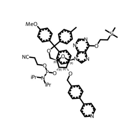 COc1ccc(C(OC[C@H]2O[C@@H](n3cnc4c(OCC[Si](C)(C)C)ncnc43)[C@H](OCc3ccc(-c4ccncc4)cc3)[C@@H]2OP(OCCC#N)N(C(C)C)C(C)C)(c2ccccc2)c2ccc(C)cc2)cc1